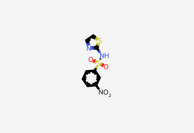 O=[N+]([O-])c1cccc(S(=O)(=O)Nc2nccs2)c1